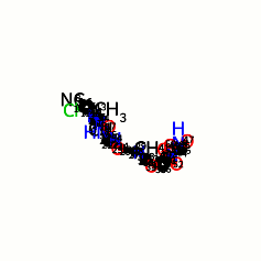 C[C@@H]1CN(c2ccc(C#N)c(Cl)c2)[C@@H](C)CN1C(=O)Nc1ccc(OCCCCN(C)C2CC(Oc3ccc4c(c3)C(=O)N([C@@H]3CCC(=O)NC3=O)C4=O)C2)nc1